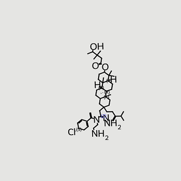 C=C(CCC1(C/C(=N/N)N(CCN)C(=C)C2=CC[C@H](Cl)C=C2)CC[C@]2(C)C(CC[C@@H]3C4(C)CCC(OC(=O)CC(C)(C)C(C)O)C(C)(C)[C@@H]4CC[C@]32C)C1)C(C)C